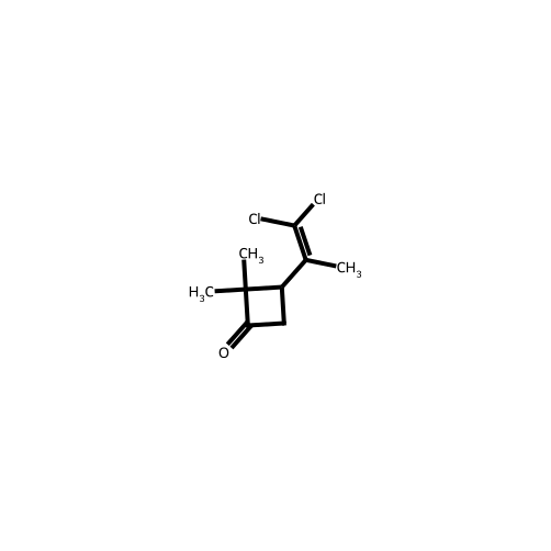 CC(=C(Cl)Cl)C1CC(=O)C1(C)C